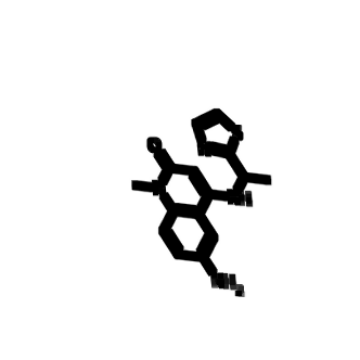 CC(Nc1cc(=O)n(C)c2ccc(N)cc12)c1nccs1